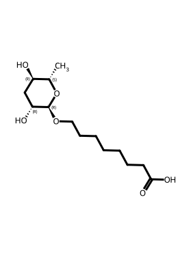 C[C@@H]1O[C@@H](OCCCCCCCC(=O)O)[C@H](O)C[C@H]1O